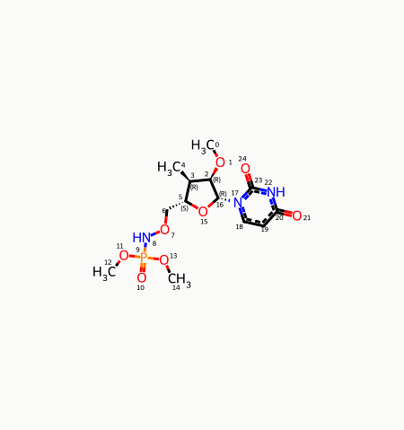 CO[C@@H]1[C@H](C)[C@@H](CONP(=O)(OC)OC)O[C@H]1n1ccc(=O)[nH]c1=O